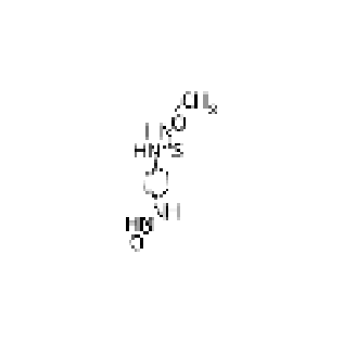 CCONC(=S)Nc1ccc(NNC=O)cc1